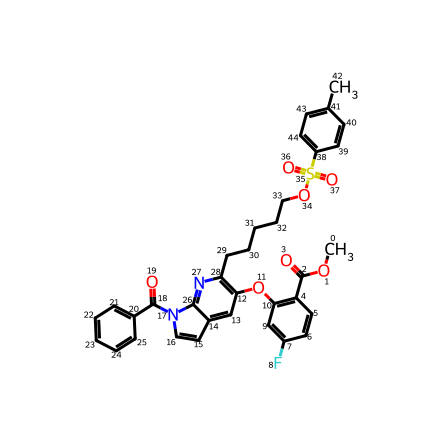 COC(=O)c1ccc(F)cc1Oc1cc2ccn(C(=O)c3ccccc3)c2nc1CCCCCOS(=O)(=O)c1ccc(C)cc1